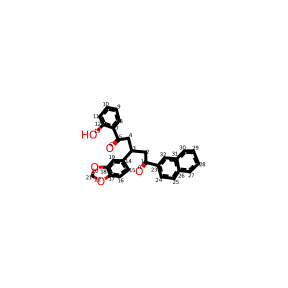 O=C(CC(CC(=O)c1ccccc1O)c1ccc2c(c1)OCO2)c1ccc2ccccc2c1